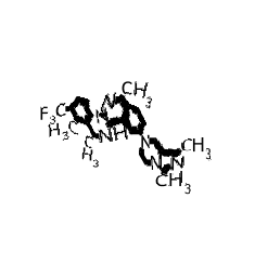 Cc1nc(C)n2c1CN(c1ccc3c(C)nnc(N[C@H](C)c4cccc(C(F)(F)F)c4C)c3c1)CC2